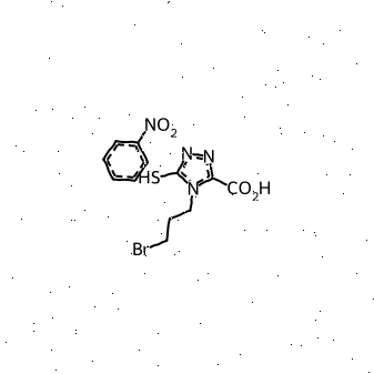 O=C(O)c1nnc(S)n1CCCBr.O=[N+]([O-])c1ccccc1